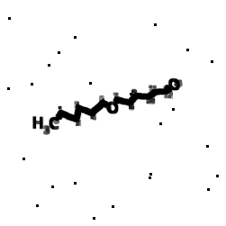 CCCCCCOCCCCCC=O